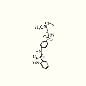 CN(C)CCNS(=O)(=O)c1ccc(N/C=C2\C(=O)Nc3ccccc32)cc1